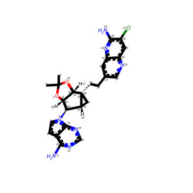 CC1(C)O[C@H]2[C@H](n3ccc4c(N)ncnc43)[C@H]3C[C@]3(CCc3cnc4cc(Cl)c(N)nc4c3)[C@H]2O1